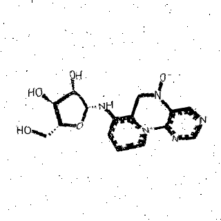 [O-]N1Cc2c(N[C@@H]3O[C@H](CO)[C@@H](O)[C@H]3O)ccc[n+]2-c2ncncc21